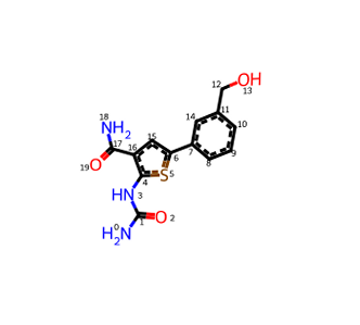 NC(=O)Nc1sc(-c2cccc(CO)c2)cc1C(N)=O